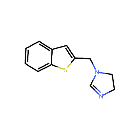 C1=NCCN1Cc1cc2ccccc2s1